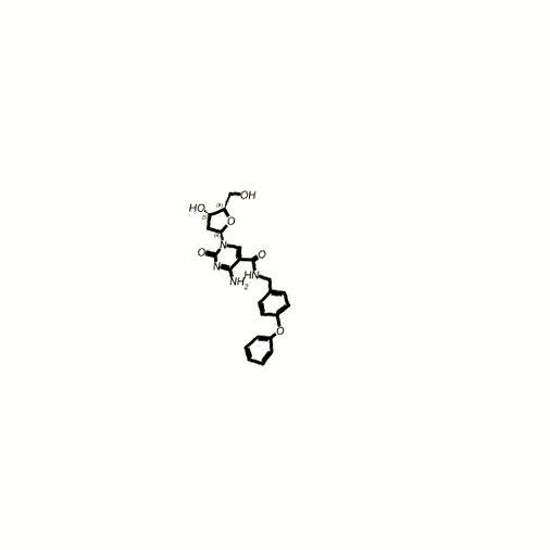 Nc1nc(=O)n([C@H]2C[C@H](O)[C@@H](CO)O2)cc1C(=O)NCc1ccc(Oc2ccccc2)cc1